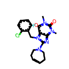 Cn1c(=O)c2c(nc(N3CCC=CCC3)n2Cc2c(F)cccc2Cl)n(C)c1=O